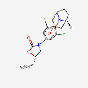 CC(=O)NC[C@H]1CN(c2cc(F)c(N3C4CC[C@@H]3C[S+]([O-])C4)c(F)c2)C(=O)O1